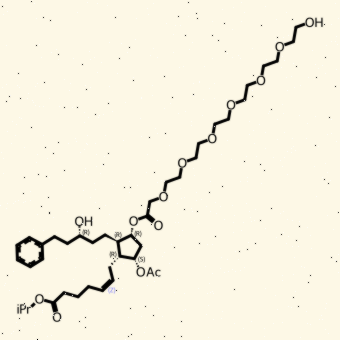 CC(=O)O[C@H]1C[C@@H](OC(=O)COCCOCCOCCOCCOCCOCCO)[C@H](CC[C@@H](O)CCc2ccccc2)[C@H]1C/C=C\CCCC(=O)OC(C)C